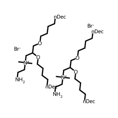 CCCCCCCCCCCCCCOCC(C[N+](C)(C)CCN)OCCCCCCCCCCCCCC.CCCCCCCCCCCCCCOCC(C[N+](C)(C)CCN)OCCCCCCCCCCCCCC.[Br-].[Br-]